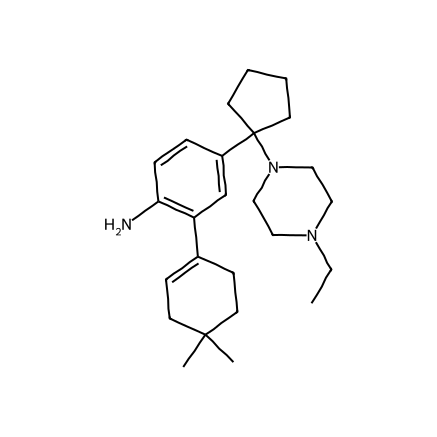 CCN1CCN(C2(c3ccc(N)c(C4=CCC(C)(C)CC4)c3)CCCC2)CC1